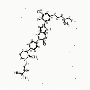 CC(=N)NCC[C@@H]1CCC[C@@H](c2ccc(-n3cc4cc(-c5cc(CCCC(N)CF)cc(Cl)c5F)[nH]c4nc3=O)cc2)N1C